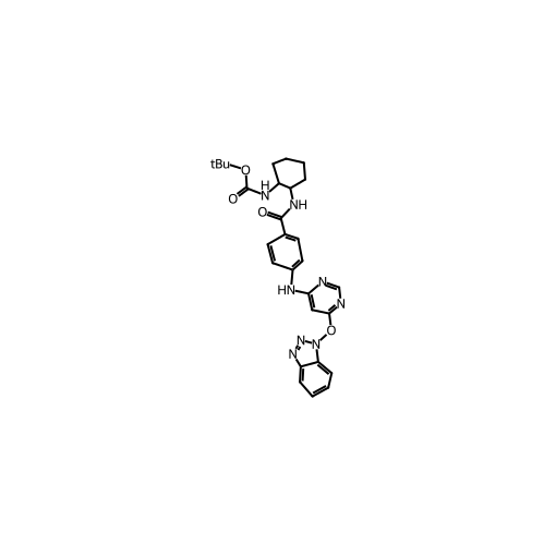 CC(C)(C)OC(=O)NC1CCCCC1NC(=O)c1ccc(Nc2cc(On3nnc4ccccc43)ncn2)cc1